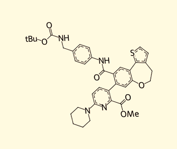 COC(=O)c1nc(N2CCCCC2)ccc1-c1cc2c(cc1C(=O)Nc1ccc(CNC(=O)OC(C)(C)C)cc1)-c1sccc1CCO2